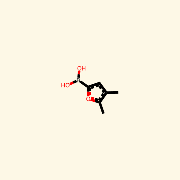 Cc1cc(B(O)O)oc1C